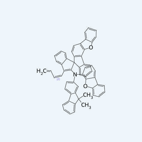 C=C/C=C\C1=C(N(c2ccc3c(c2)C(C)(C)c2ccccc2-3)c2cccc3c2oc2ccccc23)C2(c3ccccc31)c1ccccc1-c1c2ccc2c1oc1ccccc12